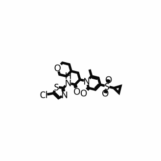 Cc1cc(S(=O)(=O)C2CC2)cc(=O)n1C(CC1CCOCC1)C(=O)Nc1ncc(Cl)s1